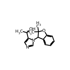 CC(O)c1cncn1C1c2ccccc2OC1(C)C